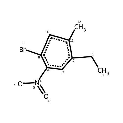 CCc1cc([N+](=O)[O-])c(Br)cc1C